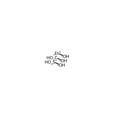 CCO.O=C(O)O.O=S(=O)(O)O